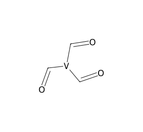 O=[CH][V]([CH]=O)[CH]=O